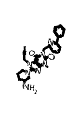 CC#CCn1c(N2CCCC(N)C2)nc2c1c(=O)n(Cc1cccc(-c3ccccc3)n1)c(=O)n2C